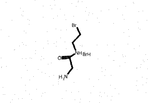 Br.NCC(=O)NCCBr